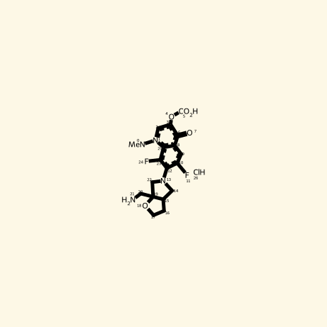 CNn1cc(OC(=O)O)c(=O)c2cc(F)c(N3CC4CCOC4(CN)C3)c(F)c21.Cl